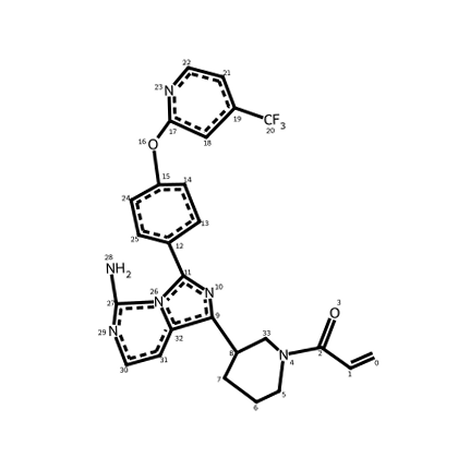 C=CC(=O)N1CCCC(c2nc(-c3ccc(Oc4cc(C(F)(F)F)ccn4)cc3)n3c(N)nccc23)C1